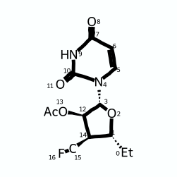 CC[C@H]1O[C@@H](n2ccc(=O)[nH]c2=O)[C@H](OC(C)=O)[C@@H]1CF